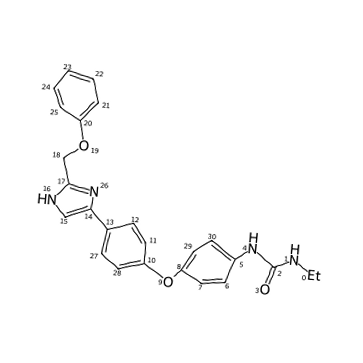 CCNC(=O)Nc1ccc(Oc2ccc(-c3c[nH]c(COc4ccccc4)n3)cc2)cc1